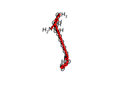 CC(=O)OCc1ccc(NC(=O)[C@H](CCCCN)NC(=O)COCC(=O)NCCOCCOCCOCCOCCOCCOCCOCCOCCn2cc(CNC(=O)C3CCC(CN4C(=O)CC(I)C4=O)CC3)nn2)cc1